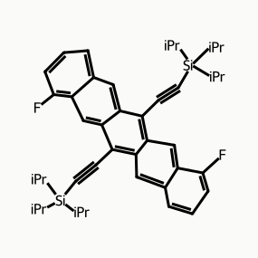 CC(C)[Si](C#Cc1c2cc3cccc(F)c3cc2c(C#C[Si](C(C)C)(C(C)C)C(C)C)c2cc3cccc(F)c3cc12)(C(C)C)C(C)C